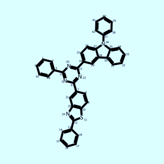 c1ccc(-c2nc(-c3ccc4sc(-c5ccccc5)nc4c3)nc(-c3ccc4c(c3)c3ccccc3n4-c3ccccc3)n2)cc1